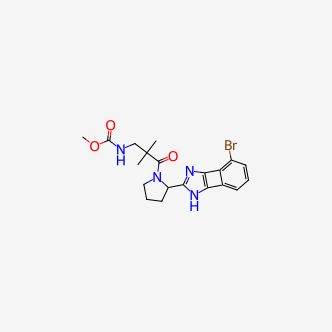 COC(=O)NCC(C)(C)C(=O)N1CCCC1c1nc2c([nH]1)-c1cccc(Br)c1-2